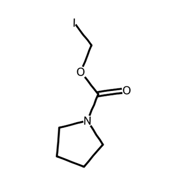 O=C(OCI)N1CCCC1